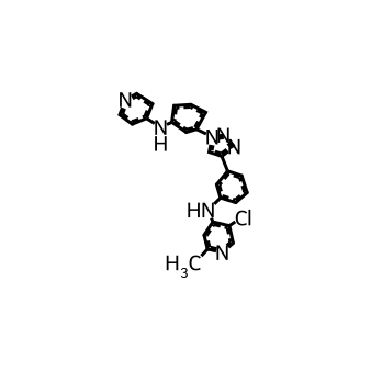 Cc1cc(Nc2cccc(-c3cn(-c4cccc(Nc5ccncc5)c4)nn3)c2)c(Cl)cn1